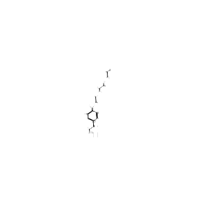 CCCOCCOCCOc1ccc(CCC)cc1